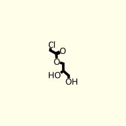 O=C(CCl)OCC(O)CO